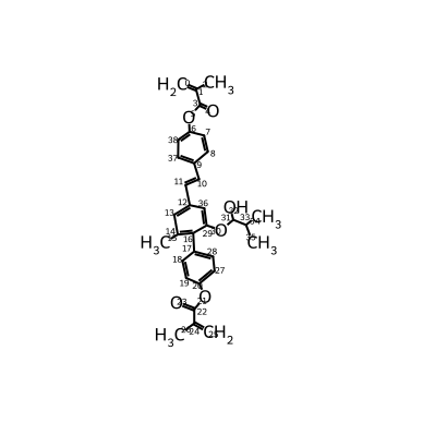 C=C(C)C(=O)Oc1ccc(/C=C/c2cc(C)c(-c3ccc(OC(=O)C(=C)C)cc3)c(OC(O)C(C)C)c2)cc1